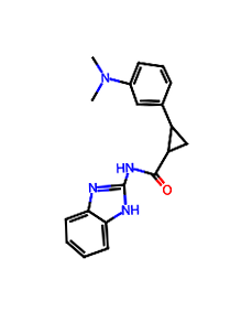 CN(C)c1cccc(C2CC2C(=O)Nc2nc3ccccc3[nH]2)c1